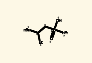 CCCCC(CC)CP(=O)(O)CCC